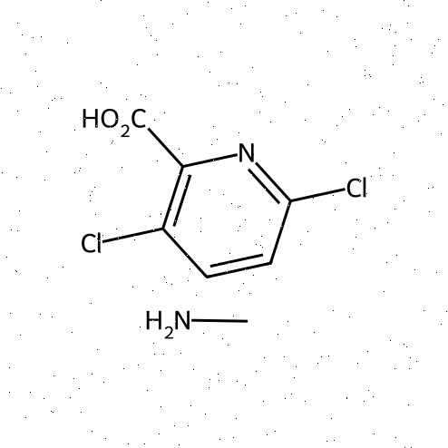 CN.O=C(O)c1nc(Cl)ccc1Cl